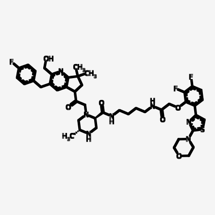 C[C@@H]1CN(CC(=O)C2CC(C)(C)c3nc(CO)c(Cc4ccc(F)cc4)cc32)[C@@H](C(=O)NCCCCNC(=O)COc2c(-c3csc(N4CCOCC4)n3)ccc(F)c2F)CN1